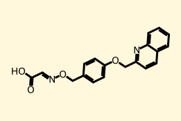 O=C(O)C=NOCc1ccc(OCc2ccc3ccccc3n2)cc1